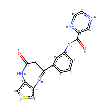 O=C1CC(c2cccc(NC(=O)c3cnccn3)c2)=Nc2cscc2N1